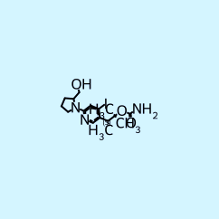 C[C@@H](c1cnc(N2CCCC2CO)cc1I)C(C)(C)OC(N)=O